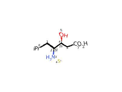 CC(C)C[C@H](N)[C@@H](O)CC(=O)O.[S]